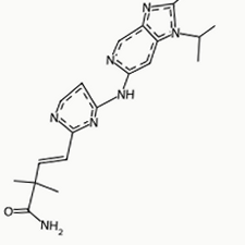 Cc1nc2cnc(Nc3ccnc(/C=C/C(C)(C)C(N)=O)n3)cc2n1C(C)C